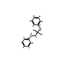 CC(C)(COc1ccccc1)Oc1ccccc1